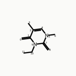 C=C1C(C)=CN(C)C(=C)N1CC